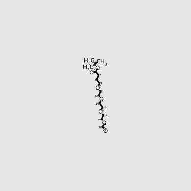 CC(C)(C)OC(=O)CCCOCCOCCOCCOC=O